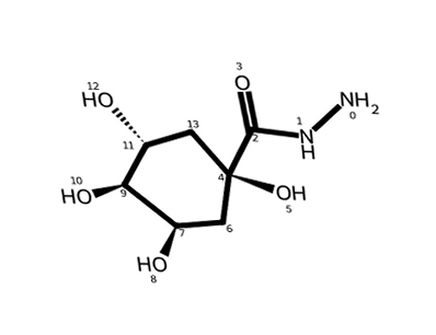 NNC(=O)[C@]1(O)C[C@@H](O)[C@@H](O)[C@H](O)C1